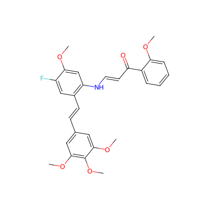 COc1cc(NC=CC(=O)c2ccccc2OC)c(C=Cc2cc(OC)c(OC)c(OC)c2)cc1F